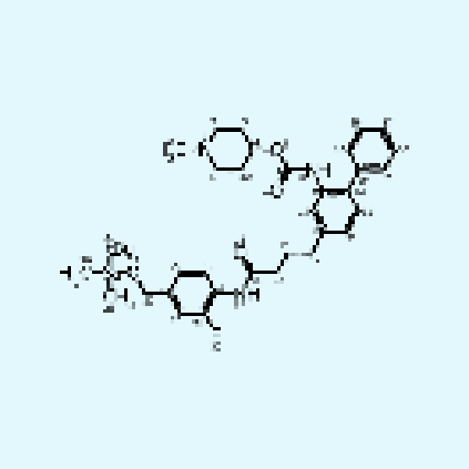 CN1CCC(OC(=O)Nc2cc(CCCC(=O)Nc3ccc(CO[Si](C)(C)C(C)(C)C)cc3F)ccc2-c2ccccc2)CC1